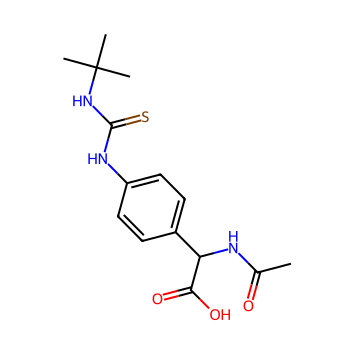 CC(=O)NC(C(=O)O)c1ccc(NC(=S)NC(C)(C)C)cc1